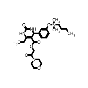 CCCC[Si](C)(C)Oc1cccc(C2NC(=O)NC(CC)=C2C(=O)OCC(=O)N2CCOCC2)c1